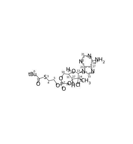 CC(C)(C)C(=O)SCCO[P@@]1(=O)OC[C@H]2O[C@@H](n3cnc4c(N)ncnc43)[C@](C)(Cl)[C@@H]2O1